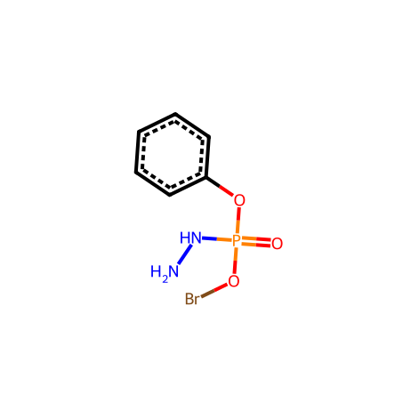 NNP(=O)(OBr)Oc1ccccc1